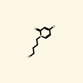 O=c1cc(Cl)ccn1CCCCCl